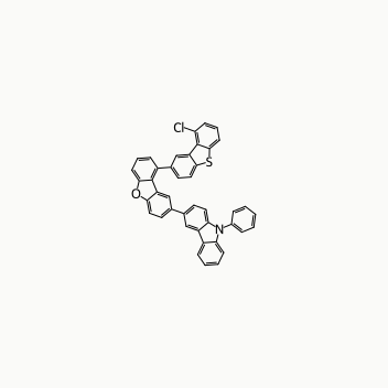 Clc1cccc2sc3ccc(-c4cccc5oc6ccc(-c7ccc8c(c7)c7ccccc7n8-c7ccccc7)cc6c45)cc3c12